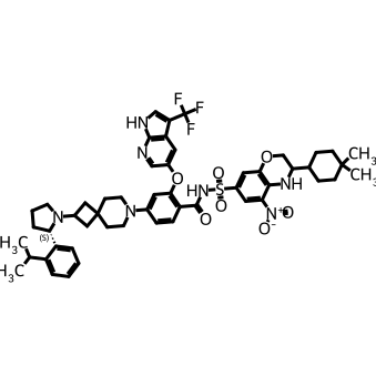 CC(C)c1ccccc1[C@@H]1CCCN1C1CC2(CCN(c3ccc(C(=O)NS(=O)(=O)c4cc5c(c([N+](=O)[O-])c4)NC(C4CCC(C)(C)CC4)CO5)c(Oc4cnc5[nH]cc(C(F)(F)F)c5c4)c3)CC2)C1